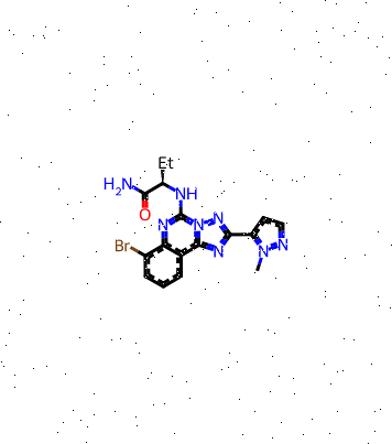 CC[C@@H](Nc1nc2c(Br)cccc2c2nc(-c3ccnn3C)nn12)C(N)=O